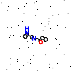 c1ccc2c(c1)ccc1c(CCN3CCC(c4c[nH]c5ccccc45)CC3)coc12